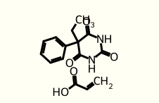 C=CC(=O)O.CCC1(c2ccccc2)C(=O)NC(=O)NC1=O